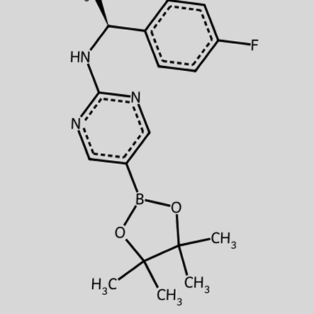 C[C@H](Nc1ncc(B2OC(C)(C)C(C)(C)O2)cn1)c1ccc(F)cc1